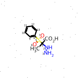 CC(NN)(C(=O)O)S(=O)(=O)c1ccccc1